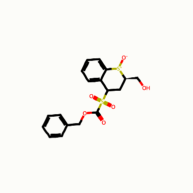 O=C(OCc1ccccc1)S(=O)(=O)C1C[C@H](CO)[S+]([O-])c2ccccc21